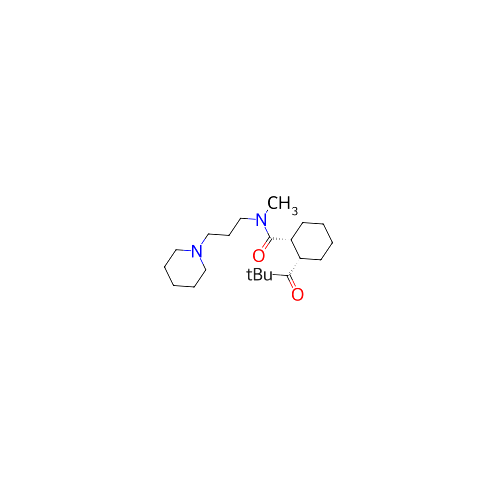 CN(CCCN1CCCCC1)C(=O)[C@@H]1CCCC[C@@H]1C(=O)C(C)(C)C